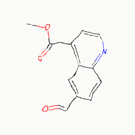 COC(=O)c1ccnc2ccc(C=O)cc12